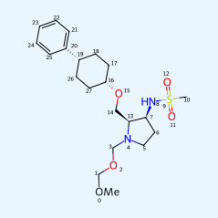 COCOCN1CC[C@H](NS(C)(=O)=O)[C@@H]1CO[C@H]1CC[C@@H](c2ccccc2)CC1